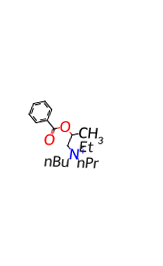 CCCC[N+](CC)(CCC)CC(C)OC(=O)c1ccccc1